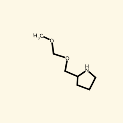 COCOCC1CCCN1